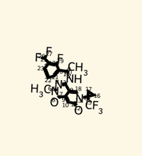 C[C@@H](Nc1nn(C)c(=O)c2cc(=O)n(C3(C(F)(F)F)CC3)cc12)c1cccc(C(F)F)c1F